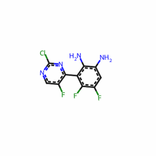 Nc1cc(F)c(F)c(-c2nc(Cl)ncc2F)c1N